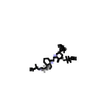 C=C1/C(=C\C=C2/CCC[C@@]3(C)C2CC[C@@H]3[C@H](C)/C=C/[C@H](C)C(C)C)C[C@@H](O[Si](C)(C)C(C)(C)C)C[C@@H]1CC(C)(C)[Si](C)(C)O